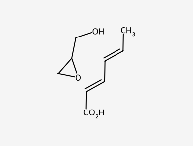 C/C=C/C=C/C(=O)O.OCC1CO1